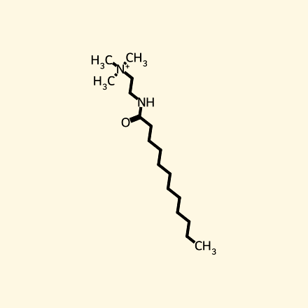 CCCCCCCCCCCC(=O)NCC[N+](C)(C)C